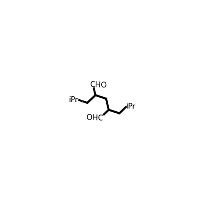 CC(C)CC(C=O)CC(C=O)CC(C)C